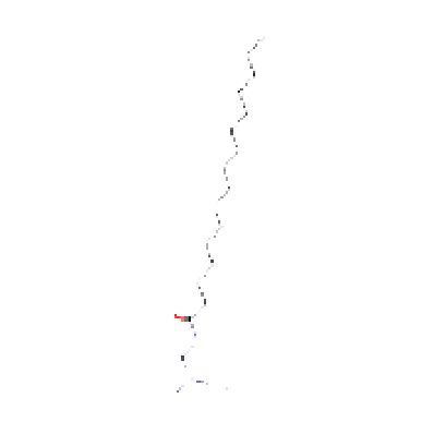 CCCN(C)CNC(=O)CCCCCCCCCCCCCCC(C)C